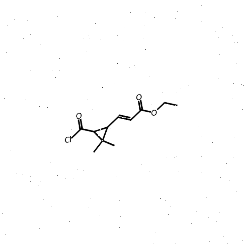 CCOC(=O)C=CC1C(C(=O)Cl)C1(C)C